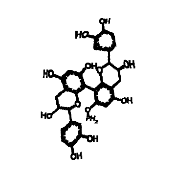 Oc1ccc(C2Oc3c(c(O)cc(O)c3-c3c(OP)cc(O)c4c3OC(c3ccc(O)c(O)c3)C(O)C4)CC2O)cc1O